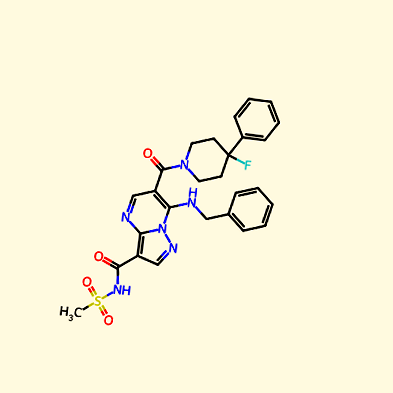 CS(=O)(=O)NC(=O)c1cnn2c(NCc3ccccc3)c(C(=O)N3CCC(F)(c4ccccc4)CC3)cnc12